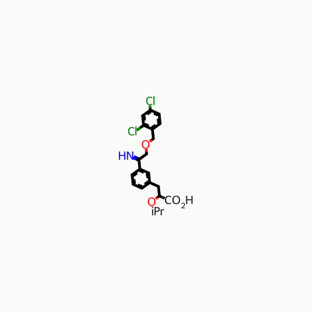 CC(C)OC(Cc1cccc(C(=N)COCc2ccc(Cl)cc2Cl)c1)C(=O)O